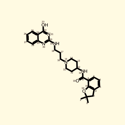 CC1(C)Cc2cccc(C(=O)NC3CCN(CCCNc4nc(O)c5ccccc5n4)CC3)c2O1